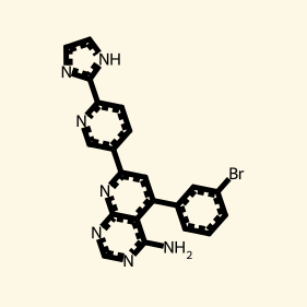 Nc1ncnc2nc(-c3ccc(-c4ncc[nH]4)nc3)cc(-c3cccc(Br)c3)c12